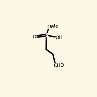 COP(=O)(O)CCC=O